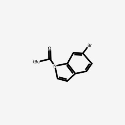 CC(C)(C)C(=O)n1ccc2ccc(Br)cc21